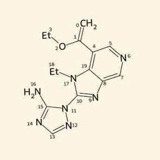 C=C(OCC)c1cncc2nc(-n3ncnc3N)n(CC)c12